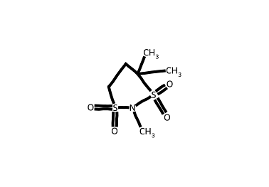 CN1S(=O)(=O)CCC(C)(C)S1(=O)=O